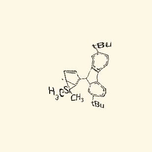 CC(C)(C)c1ccc2c(c1)C(C1=C3[C](C=C1)[Si]3(C)C)c1cc(C(C)(C)C)ccc1-2